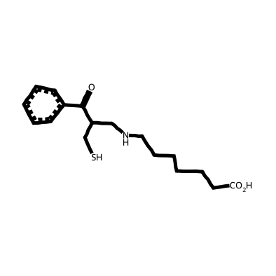 O=C(O)CCCCCCNCC(CS)C(=O)c1ccccc1